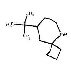 CC(C)(C)C1CCNC2(CCC2)C1